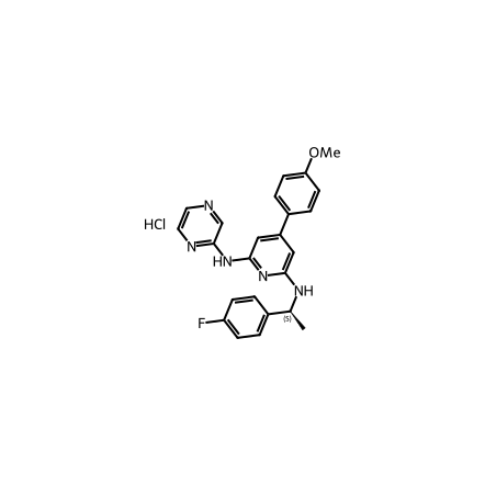 COc1ccc(-c2cc(Nc3cnccn3)nc(N[C@@H](C)c3ccc(F)cc3)c2)cc1.Cl